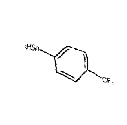 FC(F)(F)c1cc[c]([SnH])cc1